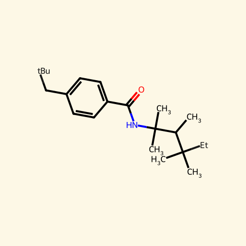 CCC(C)(C)C(C)C(C)(C)NC(=O)c1ccc(CC(C)(C)C)cc1